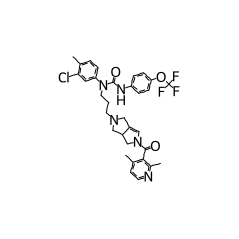 Cc1ccc(N(CCCN2CC3=CN(C(=O)c4c(C)ccnc4C)CC3C2)C(=O)Nc2ccc(OC(F)(F)F)cc2)cc1Cl